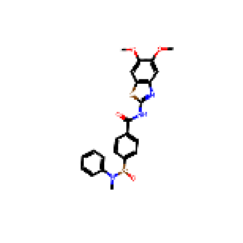 COc1cc2nc(NC(=O)c3ccc([S+]([O-])N(C)c4ccccc4)cc3)sc2cc1OC